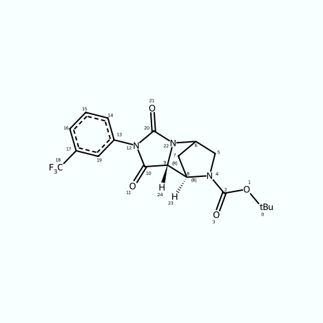 CC(C)(C)OC(=O)N1CC2C[C@@H]1[C@@H]1C(=O)N(c3cccc(C(F)(F)F)c3)C(=O)N21